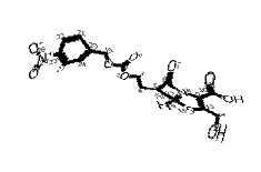 O=C(OCC[C@H]1C(=O)N2C(C(=O)O)=C(CO)S[C@H]12)OCc1ccc([N+](=O)[O-])cc1